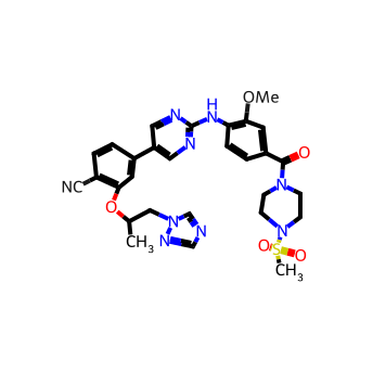 COc1cc(C(=O)N2CCN(S(C)(=O)=O)CC2)ccc1Nc1ncc(-c2ccc(C#N)c(OC(C)Cn3cncn3)c2)cn1